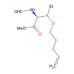 C=CCCCOC(CC)[C@H](NC=O)C(=O)OC